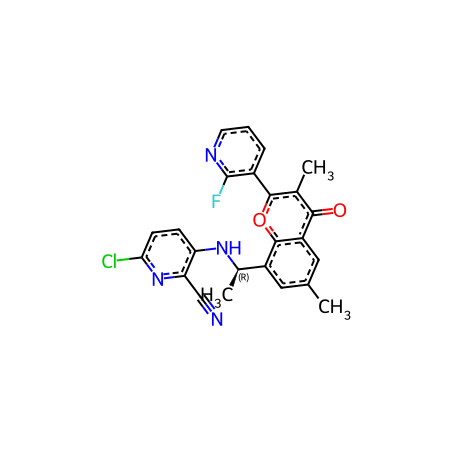 Cc1cc([C@@H](C)Nc2ccc(Cl)nc2C#N)c2oc(-c3cccnc3F)c(C)c(=O)c2c1